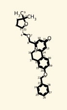 CC1(C)CC[C@@H](COCc2cc(=O)cc3n2CCc2cc(OCc4ccccc4)ccc2-3)O1